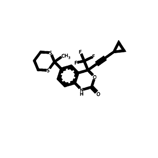 CC1(c2ccc3c(c2)C(C#CC2CC2)(C(F)(F)F)OC(=O)N3)SCCCS1